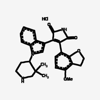 COc1ccc(C2=C(c3cn(C4CCNCC4(C)C)c4ccccc34)C(=O)NC2=O)c2c1CCO2.Cl